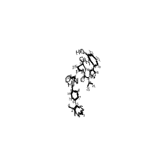 Cc1ncsc1-c1ccc(CNC(=O)[C@@H]2C[C@@H](O)CN2C(=O)[C@H](C(C)C)n2cc(-c3cccc(O)c3)cn2)cc1